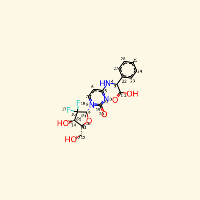 O=C(O)C(Nc1ccn([C@@H]2O[C@H](CO)[C@@H](O)C2(F)F)c(=O)n1)c1ccccc1